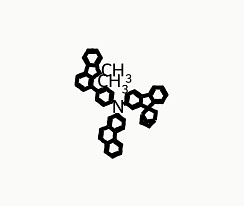 CC1(C)c2ccccc2-c2cccc(-c3ccc(N(c4ccc5c(c4)C4(CC6CCC4C6)c4ccccc4-5)c4ccc5c(ccc6ccccc65)c4)cc3)c21